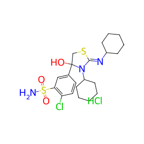 Cl.NS(=O)(=O)c1cc(C2(O)CSC(=NC3CCCCC3)N2C2CCCCC2)ccc1Cl